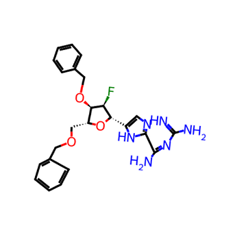 N=C(N)/N=C(/N)c1ncc([C@@H]2O[C@H](COCc3ccccc3)[C@@H](OCc3ccccc3)[C@H]2F)[nH]1